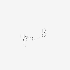 Cc1nc2cc(OCCCCN3CC=C(c4c[nH]c5ccc(C#N)cc45)CC3)ccc2s1